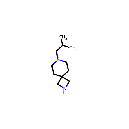 CC(C)CN1CCC2(CC1)CNC2